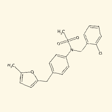 Cc1ccc(Cc2ccc(N(Cc3ccccc3Cl)S(C)(=O)=O)cc2)o1